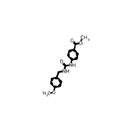 COC(=O)c1ccc(NC(=O)NCc2ccc(OC)cc2)cc1